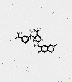 CC(N)c1cccc(Nc2nc(Nc3cc4c(cc3F)CCN(C)C4)ncc2C(N)=O)c1